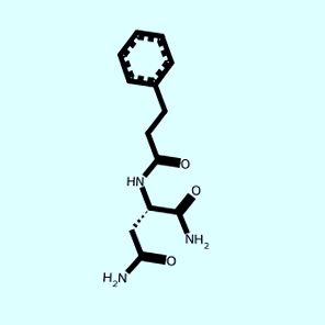 NC(=O)C[C@H](NC(=O)CCc1ccccc1)C(N)=O